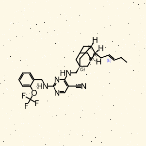 CC/C=C/C[C@@H]1[C@@H]2CC3C[C@H]1C[C@@](CNc1nc(NCc4ccccc4OC(F)(F)F)ncc1C#N)(C3)C2